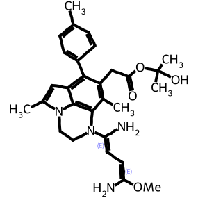 CO/C(N)=C/C=C(\N)N1CCn2c(C)cc3c(-c4ccc(C)cc4)c(CC(=O)OC(C)(C)O)c(C)c1c32